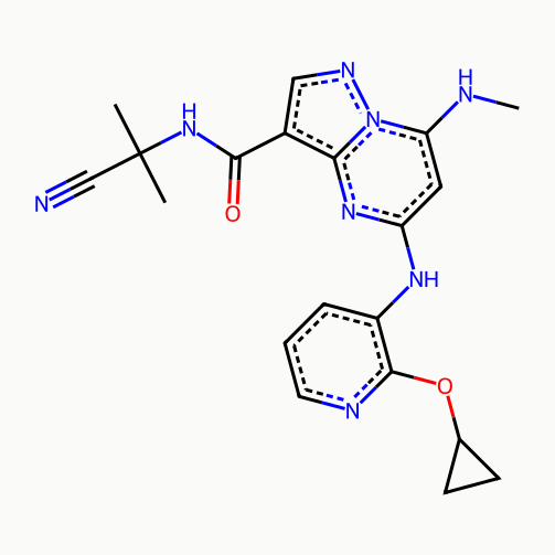 CNc1cc(Nc2cccnc2OC2CC2)nc2c(C(=O)NC(C)(C)C#N)cnn12